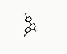 O=C1CCC(c2ccc(F)cc2)c2ccc(F)cc21